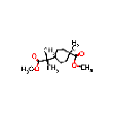 COC(=O)C1(C)CCC(C(C)(C)C(=O)OC)CC1